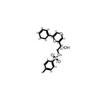 Cc1ccc(S(=O)(=O)OC[C@@H](O)C2=COC=C(C3=CC=CCC3)O2)cc1